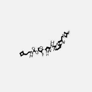 O=C(NCCC1CCC1)O[C@@H]1CO[C@H](c2cc(Nc3nccc4nc(CN5CC(F)C5)cn34)n[nH]2)[C@H]1F